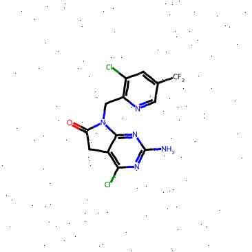 Nc1nc(Cl)c2c(n1)N(Cc1ncc(C(F)(F)F)cc1Cl)C(=O)C2